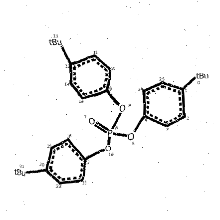 CC(C)(C)c1ccc(OP(=O)(Oc2ccc(C(C)(C)C)cc2)Oc2ccc(C(C)(C)C)cc2)cc1